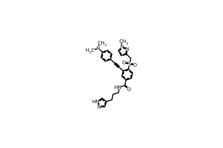 CN(C)c1ccc(C#Cc2cc(C(=O)NCCCc3cn[nH]c3)ccc2S(=O)(=O)Cc2ccn(C)n2)cc1